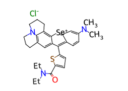 CCN(CC)C(=O)c1ccc(-c2c3ccc(N(C)C)cc3[se+]c3c4c5c(cc23)CCCN5CCC4)s1.[Cl-]